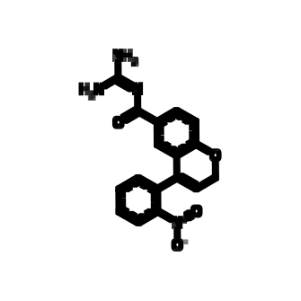 NC(N)=NC(=O)c1ccc2c(c1)C(c1ccccc1[N+](=O)[O-])=CCO2